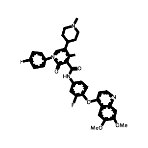 COc1cc2nccc(Oc3ccc(NC(=O)c4c(C)c(C5CCN(C)CC5)cn(-c5ccc(F)cc5)c4=O)cc3F)c2cc1OC